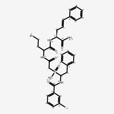 CC(C)CCC(NC(=O)CP(=O)(O)C(Cc1ccccc1)NC(=O)c1cccc(F)c1)C(=O)N[C@@H](CC=Cc1ccccc1)C(N)=O